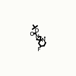 CN1CCC(F)CC12CN(C(=O)OC(C)(C)C)C2